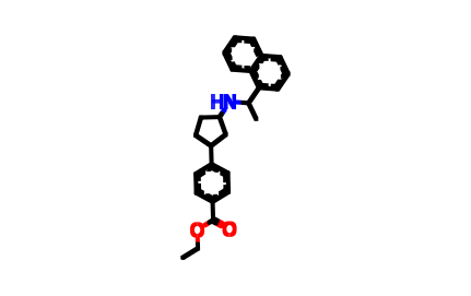 CCOC(=O)c1ccc(C2CCC(NC(C)c3cccc4ccccc34)C2)cc1